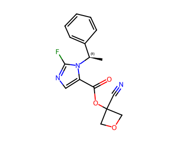 C[C@H](c1ccccc1)n1c(C(=O)OC2(C#N)COC2)cnc1F